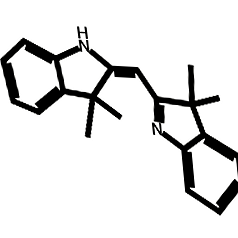 CC1(C)C(C=C2Nc3ccccc3C2(C)C)=Nc2ccccc21